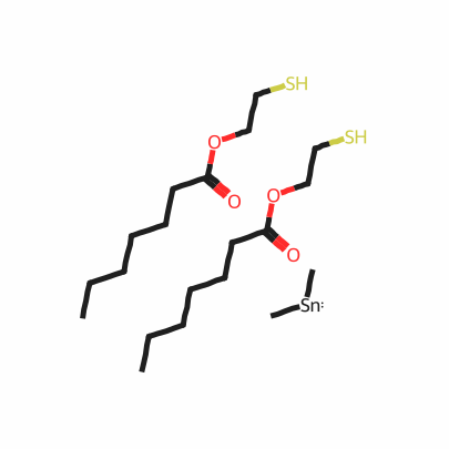 CCCCCCC(=O)OCCS.CCCCCCC(=O)OCCS.[CH3][Sn][CH3]